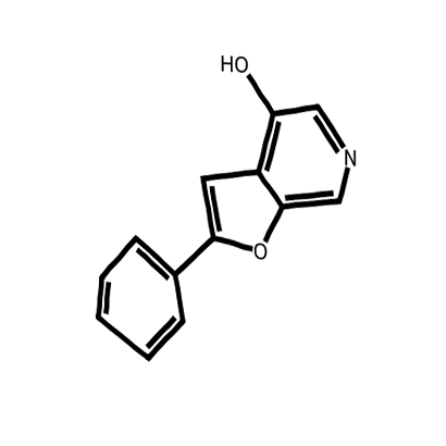 Oc1cncc2oc(-c3ccccc3)cc12